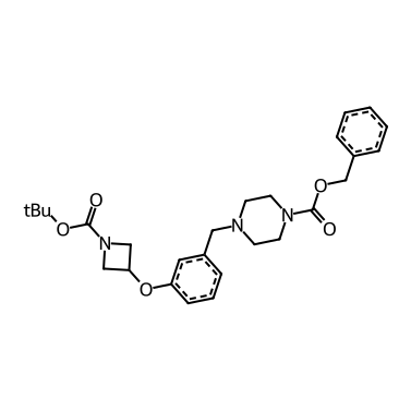 CC(C)(C)OC(=O)N1CC(Oc2cccc(CN3CCN(C(=O)OCc4ccccc4)CC3)c2)C1